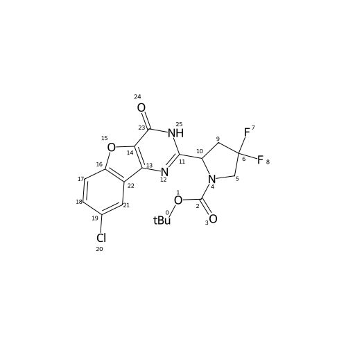 CC(C)(C)OC(=O)N1CC(F)(F)CC1c1nc2c(oc3ccc(Cl)cc32)c(=O)[nH]1